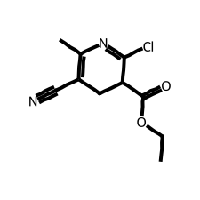 CCOC(=O)C1CC(C#N)=C(C)N=C1Cl